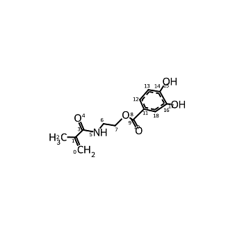 C=C(C)C(=O)NCCOC(=O)c1ccc(O)c(O)c1